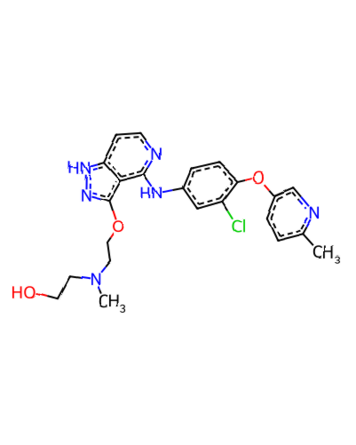 Cc1ccc(Oc2ccc(Nc3nccc4[nH]nc(OCCN(C)CCO)c34)cc2Cl)cn1